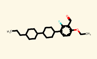 CCCC1CCC(C2CCC(c3ccc(OCC)c(C=O)c3F)CC2)CC1